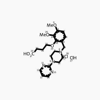 COc1ccc(CN2CCN(c3ncccn3)CC2)c(OCCCC(=O)O)c1OC.Cl.Cl